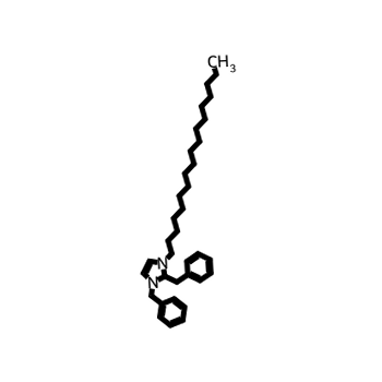 CCCCCCCCCCCCCCCCCCN1C=CN(Cc2ccccc2)C1Cc1ccccc1